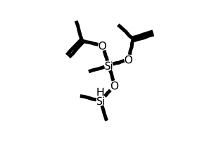 C=C(C)O[Si](C)(OC(=C)C)O[SiH](C)C